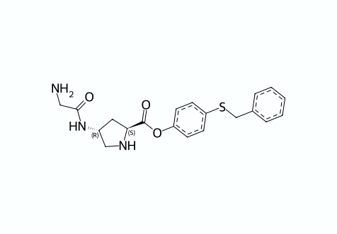 NCC(=O)N[C@H]1CN[C@H](C(=O)Oc2ccc(SCc3ccccc3)cc2)C1